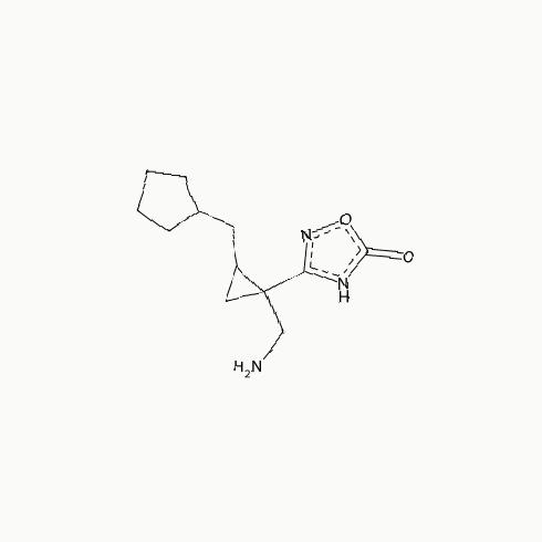 NCC1(c2noc(=O)[nH]2)CC1CC1CCCC1